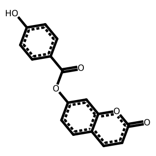 O=C(Oc1ccc2ccc(=O)oc2c1)c1ccc(O)cc1